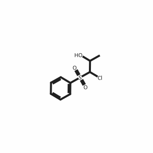 CC(O)C(Cl)S(=O)(=O)c1ccccc1